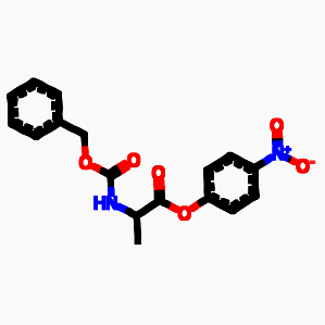 CC(NC(=O)OCc1ccccc1)C(=O)Oc1ccc([N+](=O)[O-])cc1